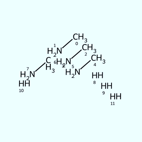 CN.CN.CN.CN.[HH].[HH].[HH].[HH]